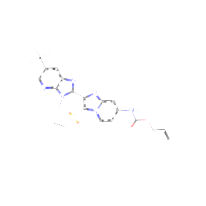 C=CCOC(=O)Nc1ccn2c(S(=O)(=O)CC)c(-c3nc4cc(C(F)(F)F)cnc4n3C)nc2c1